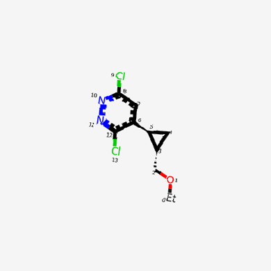 CCOC[C@H]1C[C@@H]1c1cc(Cl)nnc1Cl